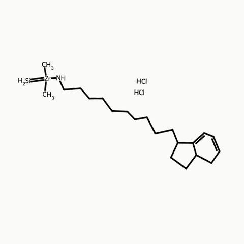 Cl.Cl.[CH3][Zr]([CH3])(=[SiH2])[NH]CCCCCCCCCCC1CCC2CC=CC=C21